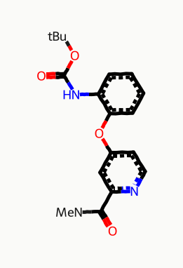 CNC(=O)c1cc(Oc2ccccc2NC(=O)OC(C)(C)C)ccn1